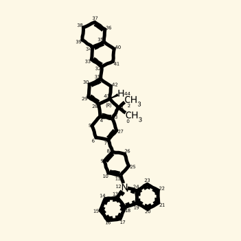 CC1(C)C2=C(CCC(C3=CC=C(n4c5ccccc5c5ccccc54)CC3)=C2)C2=CC=C(C3=CC4=C(C=CCC4)CC3)C[C@@H]21